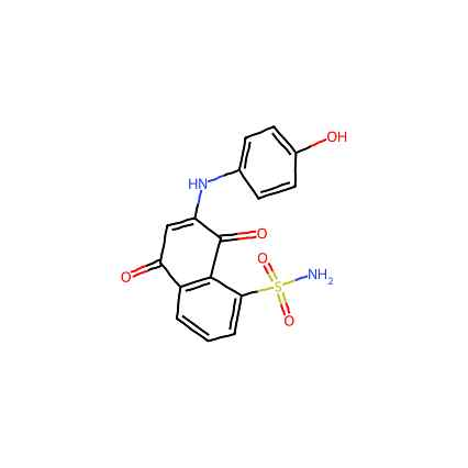 NS(=O)(=O)c1cccc2c1C(=O)C(Nc1ccc(O)cc1)=CC2=O